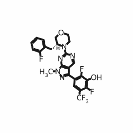 Cn1nc(-c2cc(C(F)(F)F)c(F)c(O)c2F)c2cnc(N3CCOC[C@H]3Cc3ccccc3F)nc21